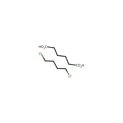 ClCCCCCl.O=C(O)CCCCC(=O)O